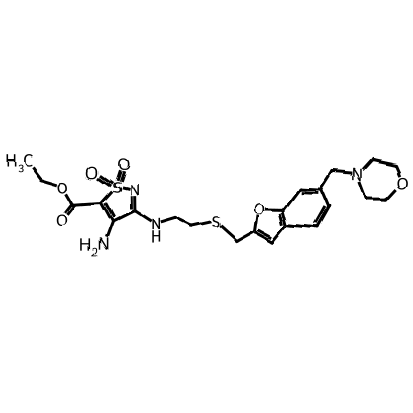 CCOC(=O)C1=C(N)C(NCCSCc2cc3ccc(CN4CCOCC4)cc3o2)=NS1(=O)=O